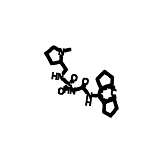 CN1CCCC1CNS(=O)(=O)NC(=O)Nc1c2c(cc3c1CCC3)CCC2